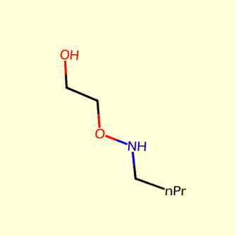 CCCCNOCCO